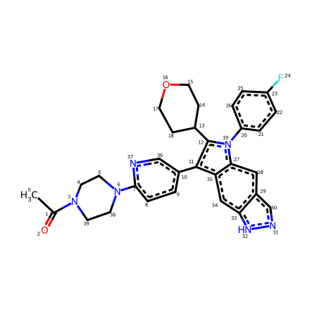 CC(=O)N1CCN(c2ccc(-c3c(C4CCOCC4)n(-c4ccc(F)cc4)c4cc5cn[nH]c5cc34)cn2)CC1